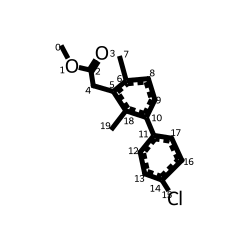 COC(=O)Cc1c(C)ccc(-c2ccc(Cl)cc2)c1C